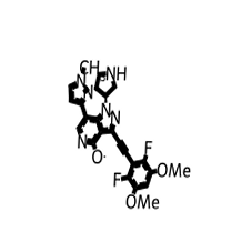 COc1cc(OC)c(F)c(C#Cc2nn([C@H]3CCNC3)c3c(-c4ccn(C)n4)cnc([O])c23)c1F